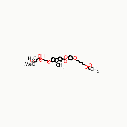 C=CC(=O)OCCCCCCOc1ccc(OC(=O)c2ccc3c(c2)C(C)c2cc(OCCCOC(O)C(=C)CC(=O)OC)ccc2-3)cc1